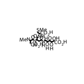 CN[C@@H](CC(=O)O)C(=O)NC(CC(=O)NCC(O)C(O)C(O)C(O)C(=O)O)C(=O)N[C@@H](CSC)C(=O)O